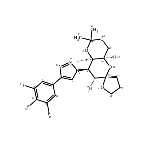 [2H][C@@H]1[C@@H](n2cc(-c3cc(F)c(F)c(F)c3)nn2)[C@H]2OC(C)(C)OC[C@H]2O[C@@]12CCCO2